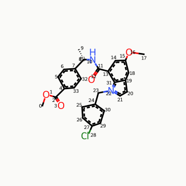 COC(=O)c1ccc([C@H](C)NC(=O)c2cc(OC)cc3ccn(Cc4ccc(Cl)cc4)c23)cc1